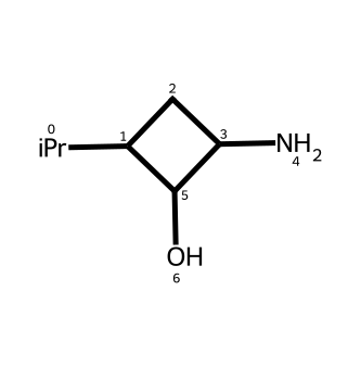 CC(C)C1CC(N)C1O